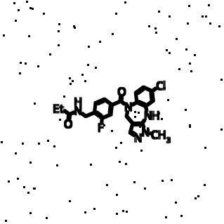 CCC(=O)NCc1ccc(C(=O)N2Cc3cnn(C)c3Nc3cc(Cl)ccc32)cc1F